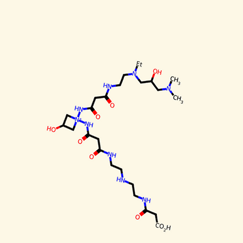 CCN(CCNC(=O)CC(=O)N[N+]1(NC(=O)CC(=O)NCCNCCNC(=O)CC(=O)O)CC(O)C1)CC(O)CN(C)C